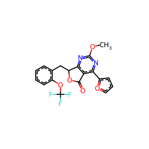 COc1nc(-c2ccco2)c2c(n1)C(Cc1ccccc1OC(F)(F)F)OC2=O